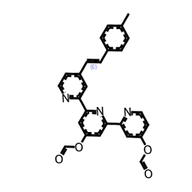 Cc1ccc(/C=C/c2ccnc(-c3cc(OC=O)cc(-c4cc(OC=O)ccn4)n3)c2)cc1